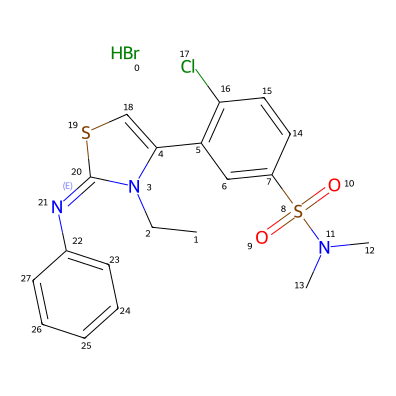 Br.CCn1c(-c2cc(S(=O)(=O)N(C)C)ccc2Cl)cs/c1=N/c1ccccc1